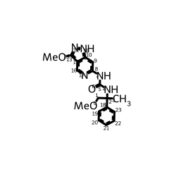 COCC(C)(NC(=O)Nc1cc2[nH]nc(OC)c2cn1)c1ccccc1